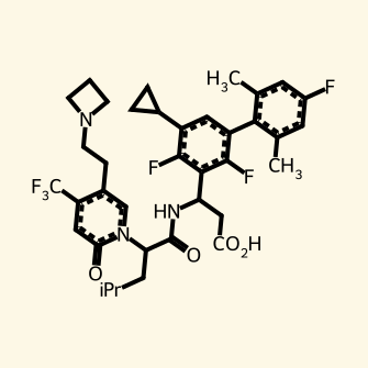 Cc1cc(F)cc(C)c1-c1cc(C2CC2)c(F)c(C(CC(=O)O)NC(=O)C(CC(C)C)n2cc(CCN3CCC3)c(C(F)(F)F)cc2=O)c1F